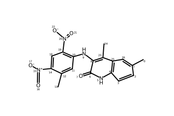 Cc1ccc2[nH]c(=O)c(Nc3cc(C)c([N+](=O)[O-])cc3[N+](=O)[O-])c(C)c2c1